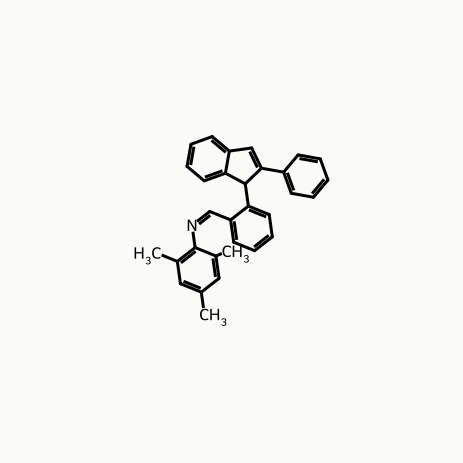 Cc1cc(C)c(/N=C\c2ccccc2C2C(c3ccccc3)=Cc3ccccc32)c(C)c1